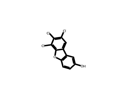 Oc1ccc2oc3c(Cl)c(Cl)c(Cl)cc3c2c1